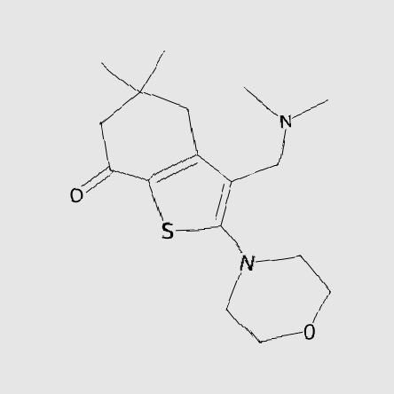 CN(C)Cc1c(N2CCOCC2)sc2c1CC(C)(C)CC2=O